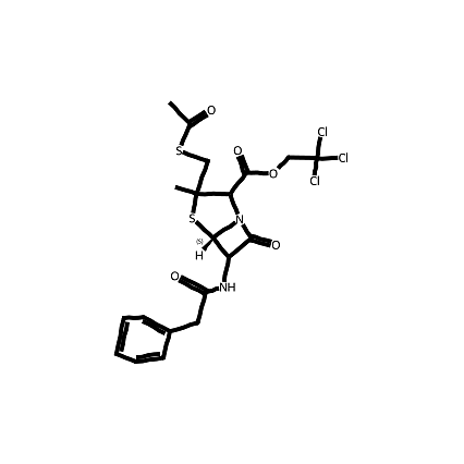 CC(=O)SCC1(C)S[C@H]2C(NC(=O)Cc3ccccc3)C(=O)N2C1C(=O)OCC(Cl)(Cl)Cl